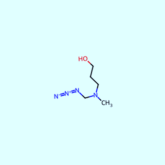 CN(CCCO)CN=[N+]=[N-]